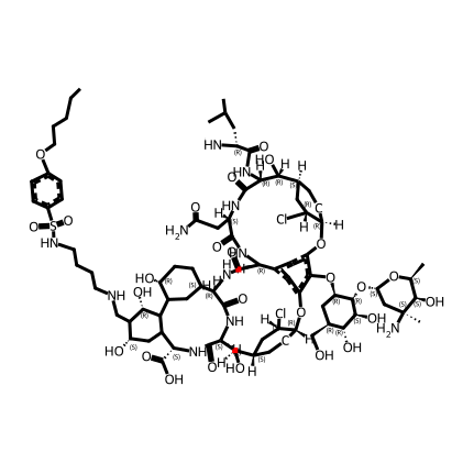 CCCCCOc1ccc(S(=O)(=O)NCCCCNCC2[C@H](O)C3C4C[C@H](CC[C@H]4O)[C@H]4NC(=O)[C@@H]5NC(=O)[C@H](CC(N)=O)NC(=O)[C@H](NC(=O)[C@@H](CC(C)C)NC)[C@H](O)[C@H]6CC[C@@H](Oc7cc5cc(c7O[C@@H]5C[C@H](CO)[C@@H](O)[C@H](O)[C@H]5O[C@H]5C[C@](C)(N)[C@H](O)[C@H](C)O5)O[C@@H]5CC[C@@H](C[C@@H]5Cl)[C@@H](O)[C@H](NC4=O)C(=O)N[C@H](C(=O)O)C3C[C@@H]2O)[C@H](Cl)C6)cc1